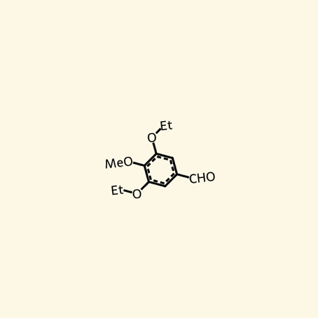 CCOc1cc(C=O)cc(OCC)c1OC